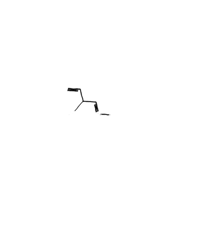 C=CC([SiH3])C=NO